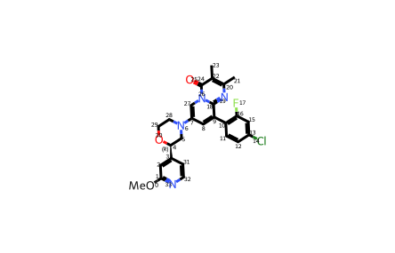 COc1cc([C@@H]2CN(c3cc(-c4ccc(Cl)cc4F)c4nc(C)c(C)c(=O)n4c3)CCO2)ccn1